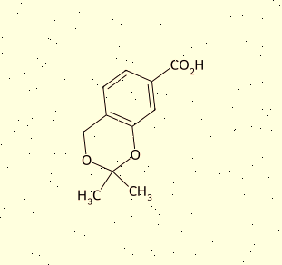 CC1(C)OCc2ccc(C(=O)O)cc2O1